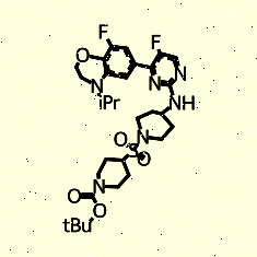 CC(C)N1CCOc2c(F)cc(-c3nc(NC4CCN(S(=O)(=O)C5CCN(C(=O)OC(C)(C)C)CC5)CC4)ncc3F)cc21